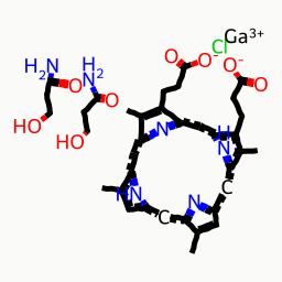 CC1=Cc2cc3[nH]c(cc4nc(cc5[nH]c(cc1n2)cc5C)C(C)=C4CCC(=O)[O-])c(CCC(=O)[O-])c3C.NC(=O)CCO.NC(=O)CCO.[Cl-].[Ga+3]